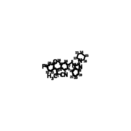 C/C(C#N)=C1/c2ccc(Cn3c(N4CCCCC4)nc4ccccc43)cc2COc2cc(F)ccc21